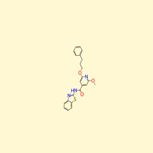 COc1cc(C(=O)Nc2nc3ccccc3s2)cc(OCCCc2ccccc2)n1